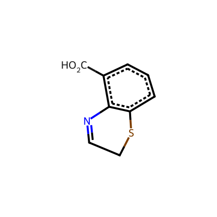 O=C(O)c1cccc2c1N=CCS2